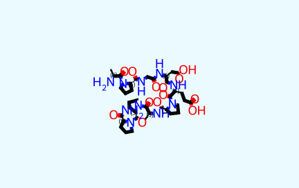 C[C@H](N)C(=O)N1CCC[C@H]1C(=O)NCC(=O)N[C@@H](CC(=O)O)C(=O)N[C@@H](CCC(=O)O)C(=O)N1CCC[C@H]1C(=O)N[C@@H](C)C(=O)N1CCC[C@H]1C(=O)N1CCC[C@H]1C(N)=O